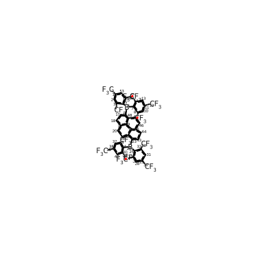 FC(F)(F)c1cc(C(F)(F)F)c(B(c2c(C(F)(F)F)cc(C(F)(F)F)cc2C(F)(F)F)c2ccc3ccc4c(B(c5c(C(F)(F)F)cc(C(F)(F)F)cc5C(F)(F)F)c5c(C(F)(F)F)cc(C(F)(F)F)cc5C(F)(F)F)ccc5ccc2c3c54)c(C(F)(F)F)c1